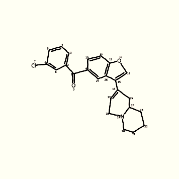 O=C(c1cccc(Cl)c1)c1ccc2occ(C3=CCN4CCCCC4C3)c2c1